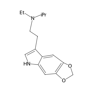 CCN(CCc1c[nH]c2cc3c(cc12)OCO3)C(C)C